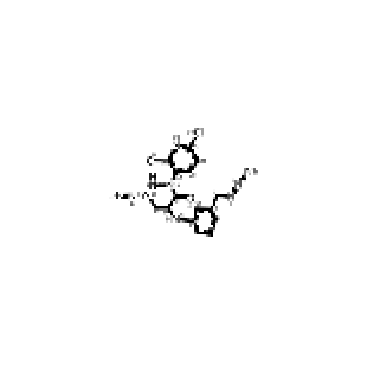 [N-]=[N+]=NCc1cccc(NC(CN=[N+]=[N-])C(=O)N(N)c2ccc(Cl)nc2Cl)c1